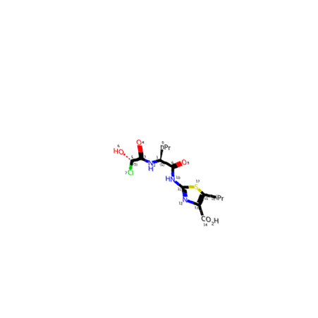 CCC[C@H](NC(=O)[C@@H](O)Cl)C(=O)Nc1nc(C(=O)O)c(C(C)C)s1